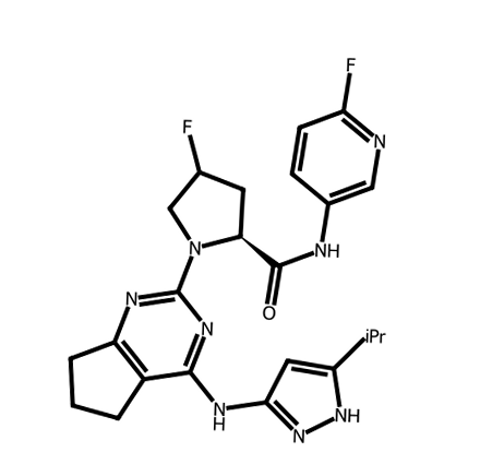 CC(C)c1cc(Nc2nc(N3CC(F)C[C@H]3C(=O)Nc3ccc(F)nc3)nc3c2CCC3)n[nH]1